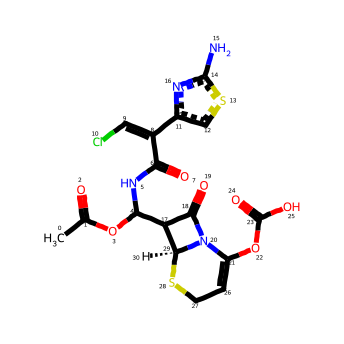 CC(=O)OC(NC(=O)C(=CCl)c1csc(N)n1)C1C(=O)N2C(OC(=O)O)=CCS[C@@H]12